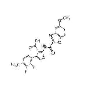 COc1ccc2oc(C(=O)Nc3scc(-c4ccc(C)c(F)c4F)c3C(=O)O)nc2c1